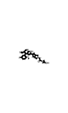 COc1ccc(F)cc1-c1c(C#N)cnc2[nH]c(C3=CC4CN(CC(=O)N5CC(O)C5)CC4C3)cc12